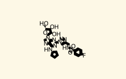 O=S(=O)(NCc1cn(-c2nc(NC3CCCC3)c3ncn(C4O[C@H](CO)[C@@H](O)[C@H]4O)c3n2)nn1)c1ccc(F)cc1